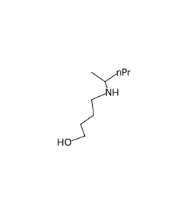 CCCC(C)NCCCCO